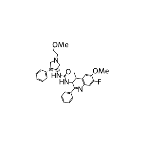 COCCN1C[C@@H](NC(=O)NC2C(c3ccccc3)=Nc3cc(F)c(OC)cc3C2C)[C@H](c2ccccc2)C1